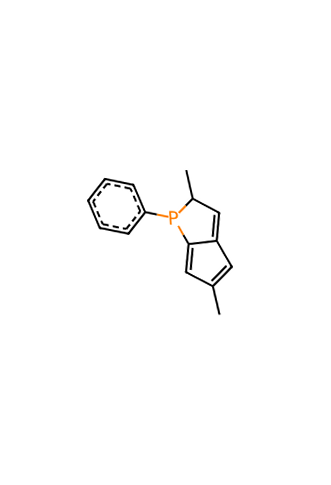 CC1=CC2=CC(C)P(c3ccccc3)C2=C1